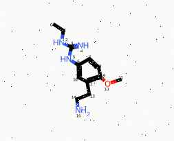 CCNC(=N)Nc1ccc(OC)c(CCN)c1